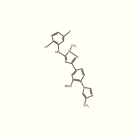 COc1cc(-c2nc(Nc3cc(F)ccc3Cl)n(C)n2)ccc1-n1cnc(C)c1